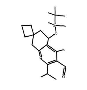 CC(C)c1nc2c(c(I)c1C=O)C(O[Si](C)(C)C(C)(C)C)CC1(CCC1)C2